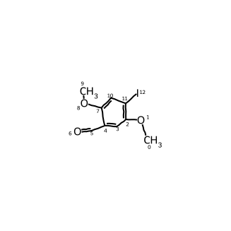 COc1cc(C=O)c(OC)cc1I